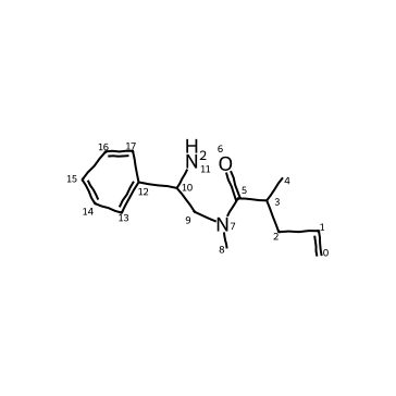 C=CCC(C)C(=O)N(C)CC(N)c1ccccc1